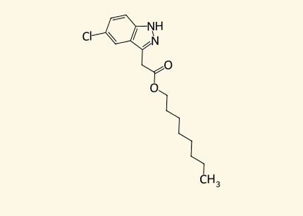 CCCCCCCCOC(=O)Cc1n[nH]c2ccc(Cl)cc12